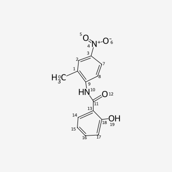 Cc1cc([N+](=O)[O-])ccc1NC(=O)c1ccccc1O